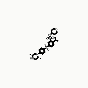 CC(C)c1ccc(S(=O)(=O)c2ccc(N3C[C@H](C)NC[C@H]3C)cc2)cc1S(=O)(=O)NC1CCOCC1